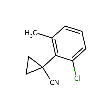 Cc1cccc(Cl)c1C1(C#N)CC1